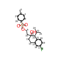 Cc1ccc(S(=O)(=O)OCCC2(O)CCc3cc(F)ccc3C2C(C)C)cc1